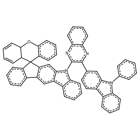 C1=CC2Oc3ccccc3C3(c4ccccc4-c4cc5c6ccccc6n(-c6nc7ccccc7nc6-c6ccc7c8ccccc8n(-c8ccccc8)c7c6)c5cc43)C2C=C1